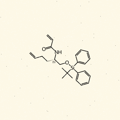 C=CCC[C@@H](CO[Si](c1ccccc1)(c1ccccc1)C(C)(C)C)NC(=O)C=C